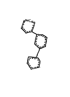 [c]1cccc(-c2cccc(-c3c[c]ccc3)c2)c1